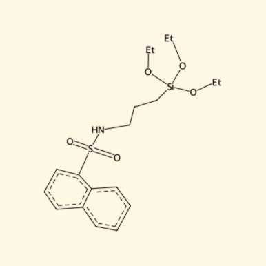 CCO[Si](CCCNS(=O)(=O)c1cccc2ccccc12)(OCC)OCC